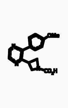 COc1ccc(-c2nccnc2C2CN(C(=O)O)C2)cc1